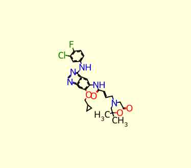 CC1(C)CN(CC=CC(=O)Nc2cc3c(Nc4ccc(F)c(Cl)c4)ncnc3cc2OCC2CC2)CC(=O)O1